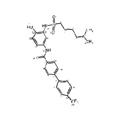 CN(C)CCCCS(=O)(=O)Nc1cc(NC(=O)c2ccc(-c3ccc(C(F)(F)F)cc3)cc2)ccc1O